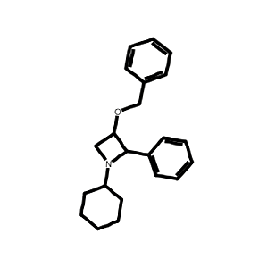 c1ccc(COC2CN(C3CCCCC3)C2c2ccccc2)cc1